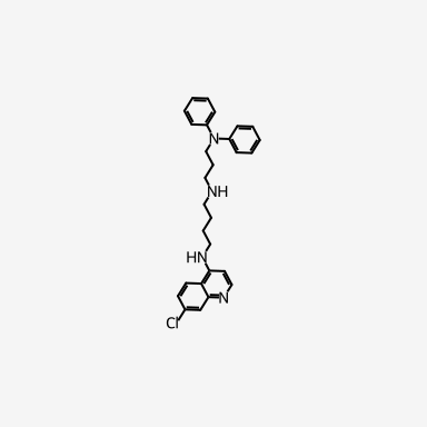 Clc1ccc2c(NCCCCNCCCN(c3ccccc3)c3ccccc3)ccnc2c1